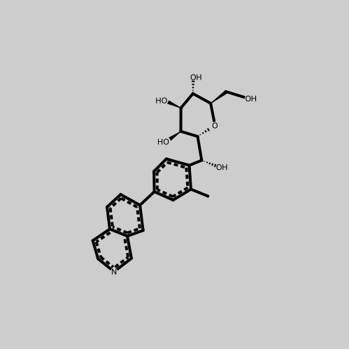 Cc1cc(-c2ccc3ccncc3c2)ccc1[C@@H](O)[C@H]1O[C@H](CO)[C@@H](O)[C@H](O)[C@@H]1O